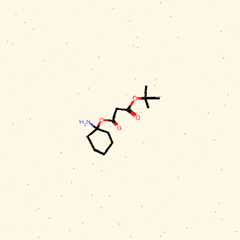 CC(C)(C)OC(=O)CC(=O)OC1(N)CCCCC1